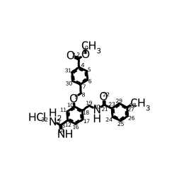 COC(=O)c1ccc(COc2cc(C(=N)N)ccc2CNC(=O)c2cccc(C)c2)cc1.Cl